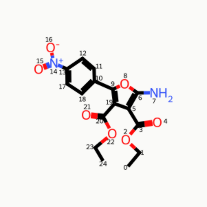 CCOC(=O)c1c(N)oc(-c2ccc([N+](=O)[O-])cc2)c1C(=O)OCC